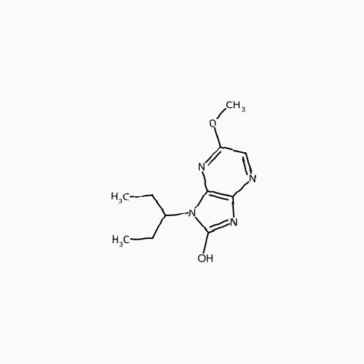 CCC(CC)n1c(O)nc2ncc(OC)nc21